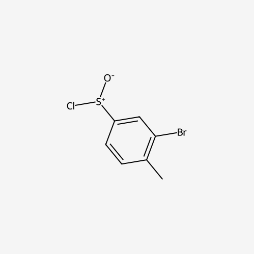 Cc1ccc([S+]([O-])Cl)cc1Br